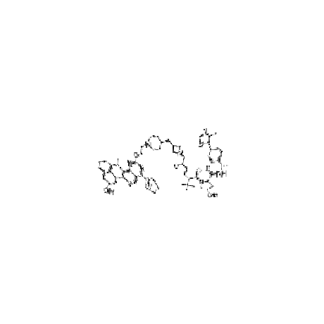 Cc1ncsc1-c1ccc([C@H](C)NC(=O)[C@@H]2C[C@@H](O)CN2C(=O)[C@@H](CCC(=O)CN2CC(CC3CCN(CCOc4nc(N5CC6CCC(C5)N6)c5cnc6c(c5n4)C(C)c4cccc5cc(O)cc-6c45)CC3)C2)C(C)(C)C)cc1